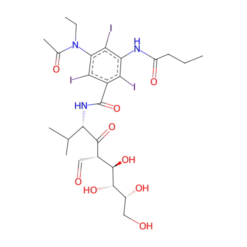 CCCC(=O)Nc1c(I)c(C(=O)N[C@H](C(=O)[C@@H](C=O)[C@@H](O)[C@@H](O)[C@H](O)CO)C(C)C)c(I)c(N(CC)C(C)=O)c1I